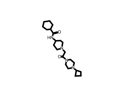 O=C(NC1CCN(CC(=O)N2CCN(C3CCC3)CC2)CC1)C1CCCCC1